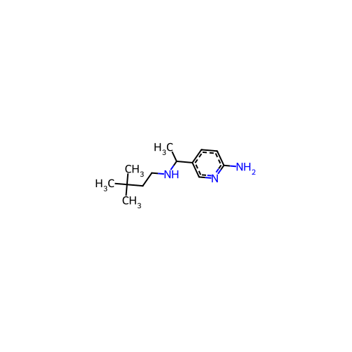 CC(NCCC(C)(C)C)c1ccc(N)nc1